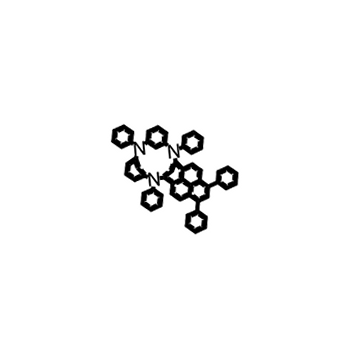 c1ccc(-c2cc(-c3ccccc3)c3ccc4c5cc(c6ccc2c3c64)N(c2ccccc2)c2cccc(c2)N(c2ccccc2)c2cccc(c2)N5c2ccccc2)cc1